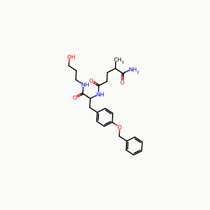 CC(C[CH]C(=O)NC(Cc1ccc(OCc2ccccc2)cc1)C(=O)NCCCO)C(N)=O